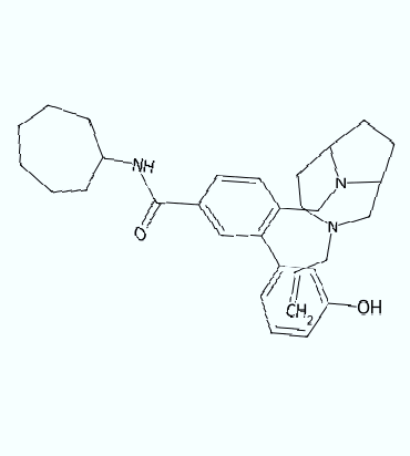 C=CCN1CCC2CCC(C1)N2Cc1ccc(C(=O)NC2CCCCCC2)cc1-c1cccc(O)c1